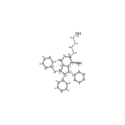 N=c1c2c(-c3ccccc3)c(-c3ccccc3)n(Cc3ccccc3)c2ncn1CCCCO